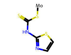 S=C(Nc1nccs1)[S][Mo]